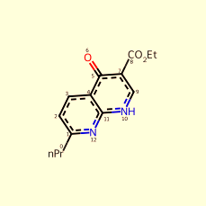 CCCc1ccc2c(=O)c(C(=O)OCC)c[nH]c2n1